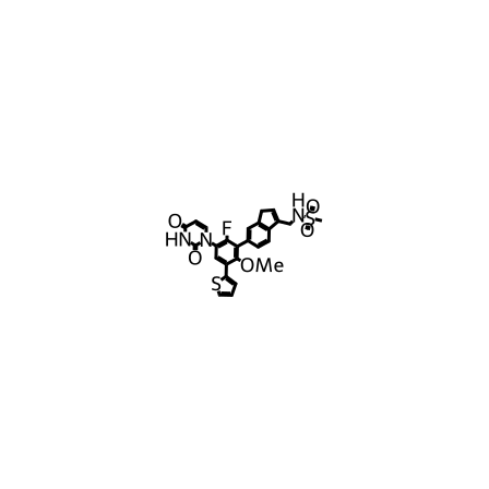 COc1c(-c2cccs2)cc(-n2ccc(=O)[nH]c2=O)c(F)c1-c1ccc2c(c1)CC=C2CNS(C)(=O)=O